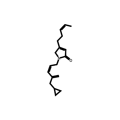 C=C(/C=C\CN1CC(CC/C=C\C)=CC1=O)CC1CC1